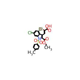 CCOC(=O)c1c(C=C(Br)C(=O)O)c2c(Cl)cc(Cl)cc2n1S(=O)(=O)c1ccc(C)cc1